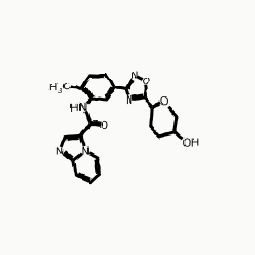 Cc1ccc(-c2noc(C3CCC(O)CO3)n2)cc1NC(=O)c1cnc2ccccn12